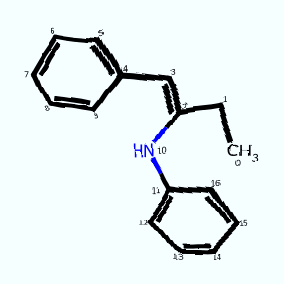 CCC(=Cc1ccccc1)Nc1ccccc1